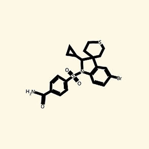 NC(=O)c1ccc(S(=O)(=O)N2c3ccc(Br)cc3C3(CCSCC3)C2C2CC2)cc1